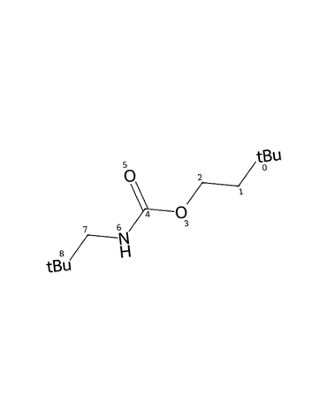 CC(C)(C)CCOC(=O)NCC(C)(C)C